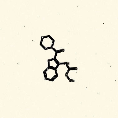 CC(C)(C)OC(=O)Nc1c(C(=O)N2CCOCC2)sc2cnccc12